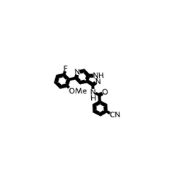 COc1cccc(F)c1-c1cc2c(NC(=O)c3cccc(C#N)c3)n[nH]c2cn1